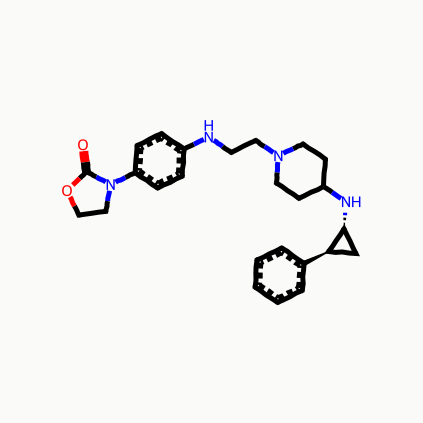 O=C1OCCN1c1ccc(NCCN2CCC(N[C@@H]3C[C@H]3c3ccccc3)CC2)cc1